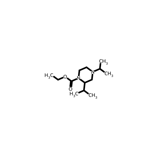 CCOC(=O)N1CCN(C(C)C)CC1C(C)C